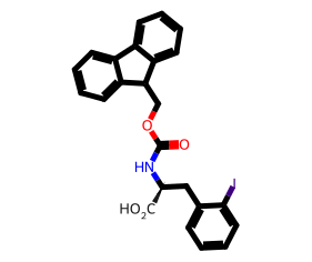 O=C(N[C@@H](Cc1ccccc1I)C(=O)O)OCC1c2ccccc2-c2ccccc21